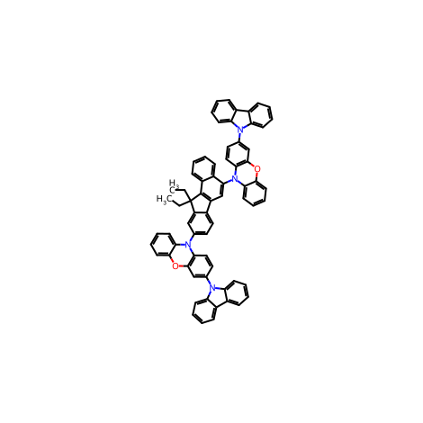 CCC1(CC)c2cc(N3c4ccccc4Oc4cc(-n5c6ccccc6c6ccccc65)ccc43)ccc2-c2cc(N3c4ccccc4Oc4cc(-n5c6ccccc6c6ccccc65)ccc43)c3ccccc3c21